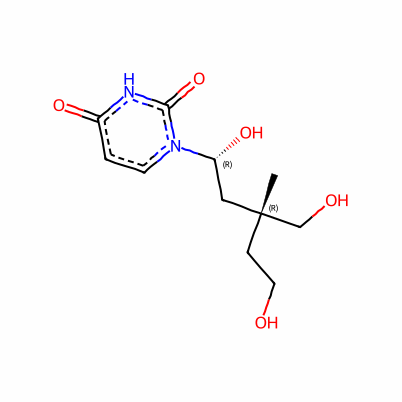 C[C@@](CO)(CCO)C[C@@H](O)n1ccc(=O)[nH]c1=O